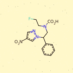 O=C(O)N(CCF)CC(c1ccccc1)n1cc([N+](=O)[O-])cn1